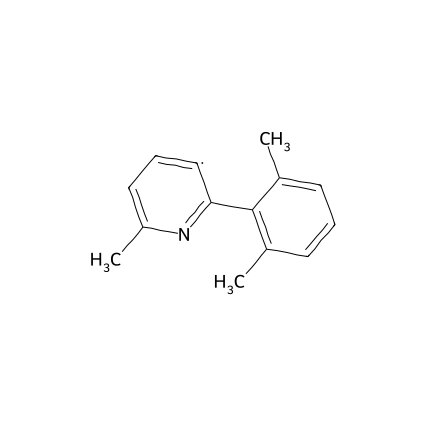 Cc1cc[c]c(-c2c(C)cccc2C)n1